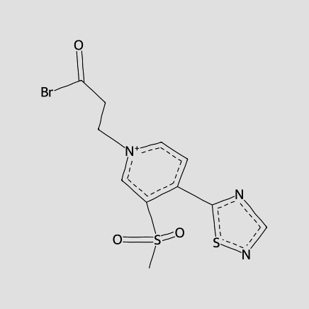 CS(=O)(=O)c1c[n+](CCC(=O)Br)ccc1-c1ncns1